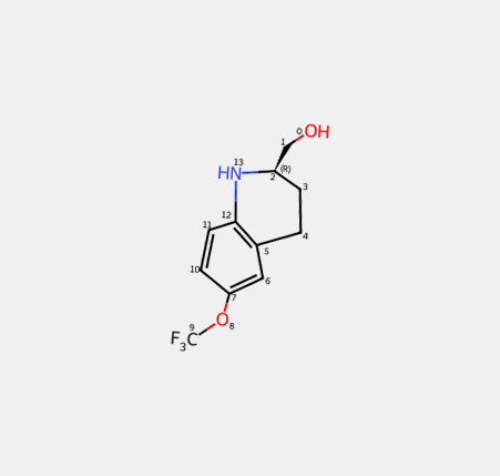 OC[C@H]1CCc2cc(OC(F)(F)F)ccc2N1